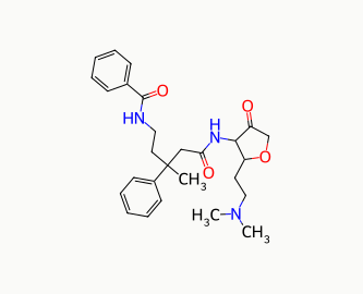 CN(C)CCC1OCC(=O)C1NC(=O)CC(C)(CCNC(=O)c1ccccc1)c1ccccc1